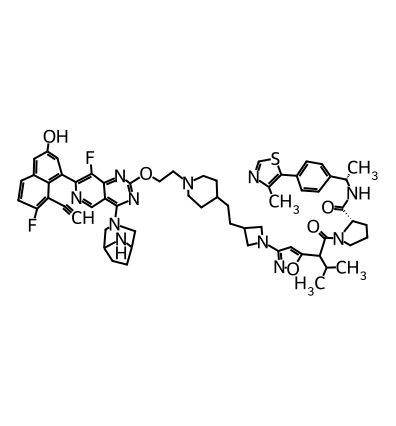 C#Cc1c(F)ccc2cc(O)cc(-c3ncc4c(N5CC6CCC(C5)N6)nc(OCCN5CCC(CCC6CN(c7cc(C(C(=O)N8CCC[C@H]8C(=O)N[C@@H](C)c8ccc(-c9scnc9C)cc8)C(C)C)on7)C6)CC5)nc4c3F)c12